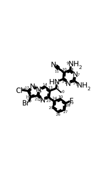 C[C@H](Nc1nc(N)nc(N)c1C#N)c1cn2nc(Cl)c(Br)c2nc1-c1cccc(F)c1